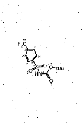 CC(C)(C)OC(=O)NS(=O)(=O)c1ccc(C(F)(F)F)cc1